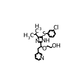 CC(C)c1nc(C(Cc2cccnc2)OCCO)[nH]c1Sc1cccc(Cl)c1